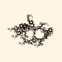 CC(=O)NC(CCCNC(=N)N)C(=O)NC1CCSCC(C(=O)NC(Cc2ccc(OCCN)cc2)C(=O)NC(Cc2ccc3ccccc3c2)C(=O)NC2(C(=O)NC(CCC(=O)O)C(=O)NC(CC(N)=O)C(=O)NC(CC(N)=O)C(N)=O)CCOCC2)NC(=O)C(CCC(N)=O)NC(=O)C(Cc2c[nH]c3ccccc23)NC(=O)C(C(C)O)NC(=O)C(CCC(N)=O)NC1=O